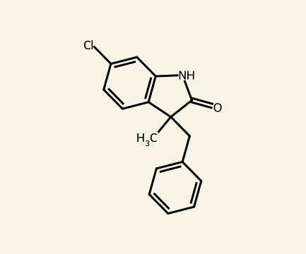 CC1(Cc2ccccc2)C(=O)Nc2cc(Cl)ccc21